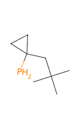 CC(C)(C)CC1(P)CC1